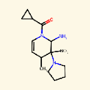 CC1C=CN(C(=O)C2CC2)C(N)C1(N1CCCC1)[N+](=O)[O-]